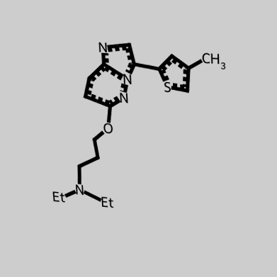 CCN(CC)CCCOc1ccc2ncc(-c3cc(C)cs3)n2n1